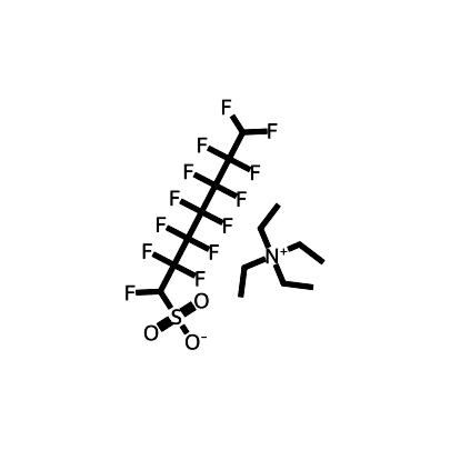 CC[N+](CC)(CC)CC.O=S(=O)([O-])C(F)C(F)(F)C(F)(F)C(F)(F)C(F)(F)C(F)(F)C(F)F